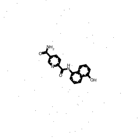 NC(=O)c1ccc(C(=O)Nc2cccc3c(O)cccc23)nc1